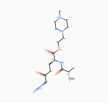 CO[C@@H](C)C(=O)N[C@@H](CCC(=O)C=[N+]=[N-])C(=O)OCCN1CCN(C)CC1